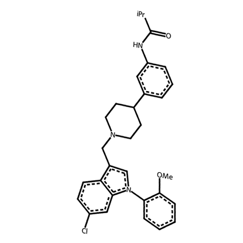 COc1ccccc1-n1cc(CN2CCC(c3cccc(NC(=O)C(C)C)c3)CC2)c2ccc(Cl)cc21